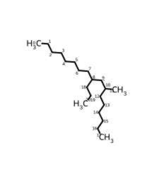 CCCCCCCCC([CH]C(C)CCCCCC)CCC